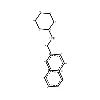 [c]1ccc2cc(CNC3CCCCC3)ccc2c1